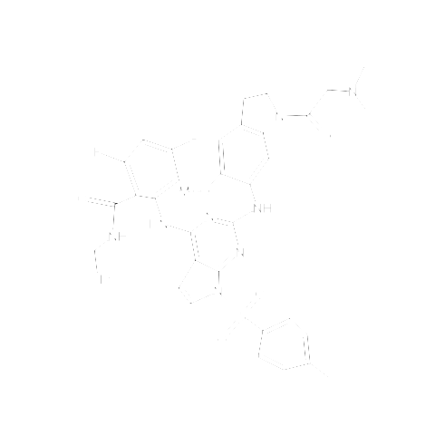 COc1cc2c(cc1Nc1nc(Nc3cc(F)cc(F)c3C(=O)NCC(C)C)c3ccn(S(=O)(=O)c4ccc(C)cc4)c3n1)N(C(=O)CN(C)C)CC2